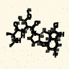 CN[C@@H](C)C(=O)N[C@H](C(=O)N1CC[C@H](O)[C@H]1Cc1c(Cl)[nH]c2cc(F)ccc12)[C@@H](C)OC